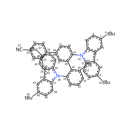 CC(C)(C)c1ccc2c(c1)c1cc(C(C)(C)C)ccc1n2-c1ccc(-c2ccc(C#N)cc2C(F)(F)F)cc1-c1c(C#N)cccc1-n1c2ccc(C(C)(C)C)cc2c2cc(C(C)(C)C)ccc21